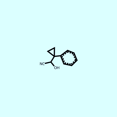 N#CC(O)C1(c2ccccc2)CC1